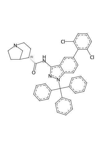 O=C(Nc1nn(C(c2ccccc2)(c2ccccc2)c2ccccc2)c2ccc(-c3c(Cl)cccc3Cl)cc12)[C@H]1CCN2CCC1C2